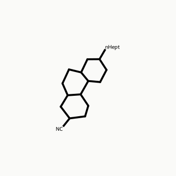 CCCCCCCC1CCC2C(CCC3CC(C#N)CCC32)C1